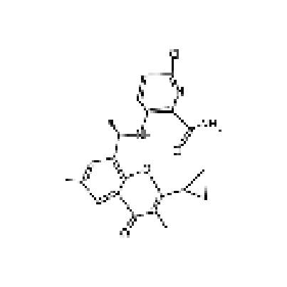 Cc1cc([C@@H](C)Nc2ccc(Cl)nc2C(N)=O)c2oc(C3CC3)c(C)c(=O)c2c1